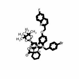 CC1(C)OB(c2csc([C@]3(C(=O)O)CCCC[C@@H]3c3nc4cc(OCc5ccc6cc(F)ccc6n5)ccc4n3Cc3ccc(Br)cc3)n2)OC1(C)C